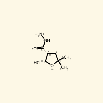 CC1(C)C[C@@H](C(=O)NN)CO1.Cl